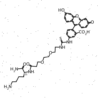 NCCCC[C@H](NC(=O)CCOCCOCCNC(=S)Nc1ccc(-c2c3ccc(=O)cc-3oc3cc(O)ccc23)c(C(=O)O)c1)C(N)=O